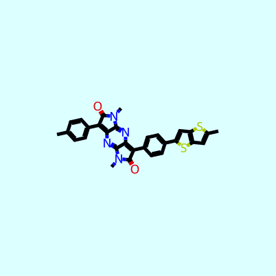 Cc1ccc(C2=c3nc4c(nc3N(C)C2=O)=C(c2ccc(-c3cc5sc(C)cc5s3)cc2)C(=O)N4C)cc1